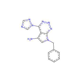 Nc1cn(Cc2ccccc2)c2nnnc(-n3cncn3)c12